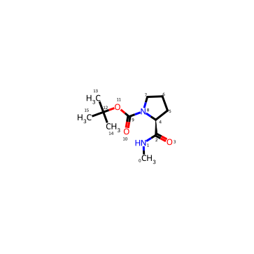 CNC(=O)[C@@H]1CCCN1C(=O)OC(C)(C)C